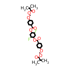 C=C(C)C(=O)OCOc1ccc(C(=O)Oc2cc(F)c(OC(=O)c3ccc(OCOC(=O)C(=C)C)cc3)cc2F)cc1